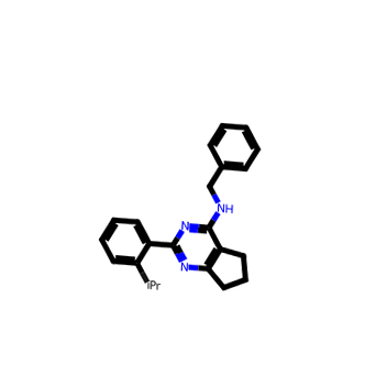 CC(C)c1ccccc1-c1nc2c(c(NCc3ccccc3)n1)CCC2